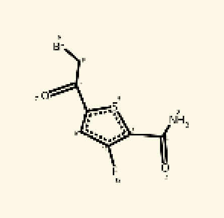 NC(=O)c1sc(C(=O)CBr)cc1F